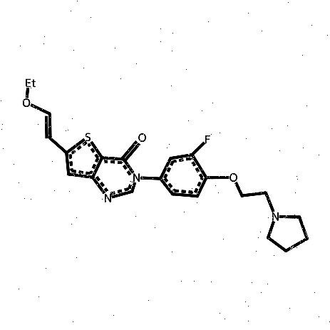 CCOC=Cc1cc2ncn(-c3ccc(OCCN4CCCC4)c(F)c3)c(=O)c2s1